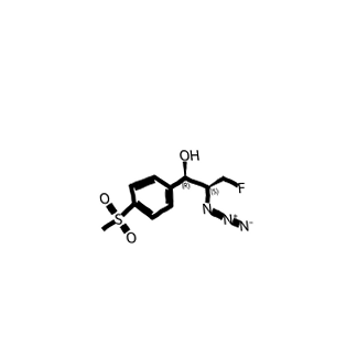 CS(=O)(=O)c1ccc([C@@H](O)[C@@H](CF)N=[N+]=[N-])cc1